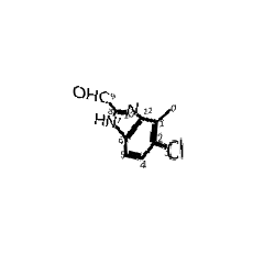 Cc1c(Cl)ccc2[nH]c(C=O)nc12